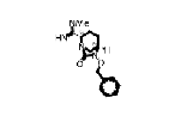 CNC(=N)[C@@H]1CC[C@@H]2CN1C(=O)N2OCc1ccccc1